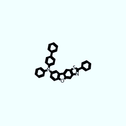 c1ccc(-c2ccc(N(c3ccccc3)c3ccc4oc5cc6nc(-c7ccccc7)sc6cc5c4c3)cc2)cc1